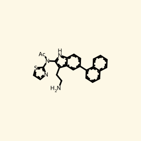 CC(=O)N(c1nccs1)c1[nH]c2ccc(-c3cccc4ccccc34)cc2c1CCN